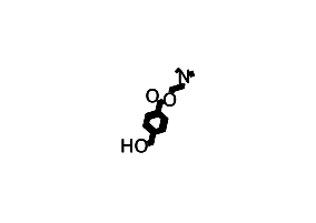 CN(C)CCOC(=O)c1ccc(CO)cc1